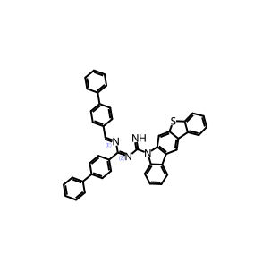 N=C(/N=C(\N=C\c1ccc(-c2ccccc2)cc1)c1ccc(-c2ccccc2)cc1)n1c2ccccc2c2cc3c(cc21)sc1ccccc13